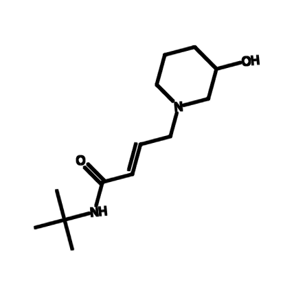 CC(C)(C)NC(=O)/C=C/CN1CCCC(O)C1